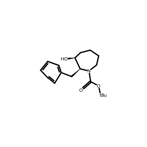 CC(C)(C)OC(=O)N1CCCC[C@H](O)[C@@H]1Cc1ccccc1